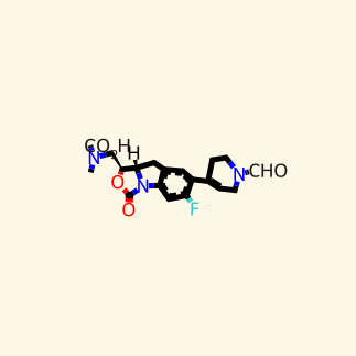 CN(C[C@@H]1OC(=O)N2c3cc(F)c(C4=CCN(C=O)CC4)cc3C[C@@H]12)C(=O)O